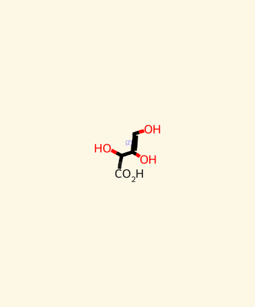 O=C(O)[C](O)/C(O)=C/O